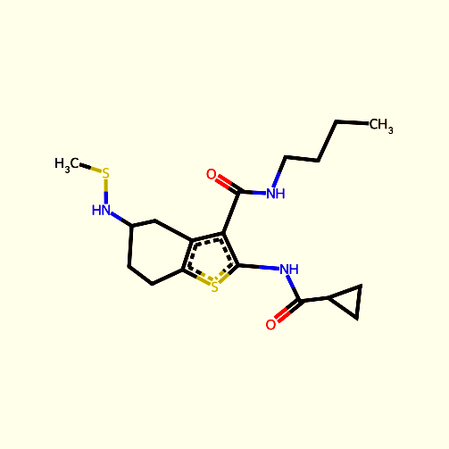 CCCCNC(=O)c1c(NC(=O)C2CC2)sc2c1CC(NSC)CC2